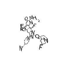 COc1cc(C(F)(F)F)c(-c2c(Cl)cc3c(N4CCC(C#N)CC4)nc(OC[C@@]45CCCN4C[C@H](F)C5)nc3c2F)nc1N